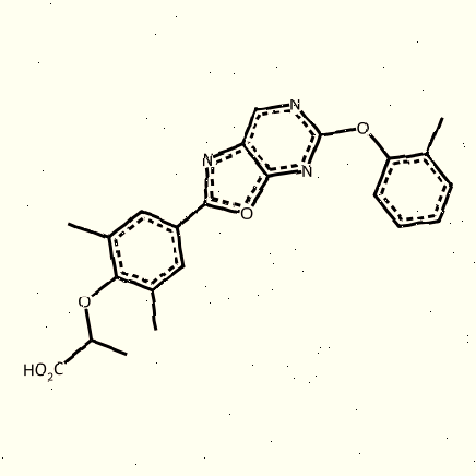 Cc1ccccc1Oc1ncc2nc(-c3cc(C)c(OC(C)C(=O)O)c(C)c3)oc2n1